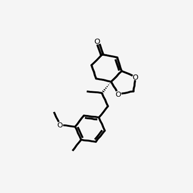 COc1cc(CC(C)[C@]23CCC(=O)C=C2OCO3)ccc1C